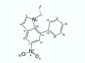 CCn1ccc2cc([N+](=O)[O-])cc(-c3ccccc3)c21